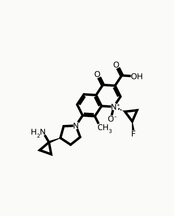 Cc1c(N2CC[C@@H](C3(N)CC3)C2)ccc2c1[N+]([O-])([C@@H]1C[C@H]1F)C=C(C(=O)O)C2=O